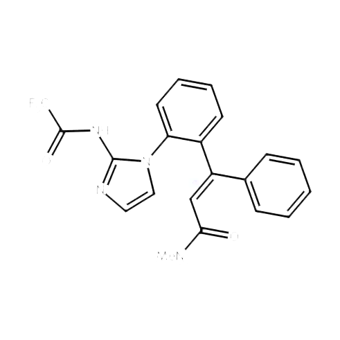 CNC(=O)/C=C(\c1ccccc1)c1ccccc1-n1ccnc1NC(=O)C(F)(F)F